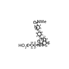 CNC(=O)c1ccc(-c2ccc(Cn3ccc4c(F)ccc(C(=O)NC5CC6(C5)CC(C(=O)O)C6)c43)cc2)cn1